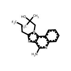 CC(C)(O)Cn1c(CCC(F)(F)F)nc2c(N)nc3ccccc3c21